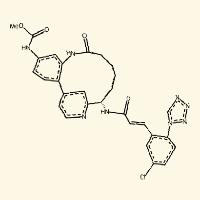 COC(=O)Nc1ccc2c(c1)NC(=O)CCCC[C@H](NC(=O)/C=C/c1cc(Cl)ccc1-n1cnnn1)c1cc-2ccn1